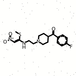 CSC(=C[N+](=O)[O-])NCCN1CCC(C(=O)c2ccc(F)cc2)CC1